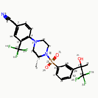 C[C@@H]1CN(c2ccc(C#N)cc2C(F)(F)F)CCN1S(=O)(=O)c1cccc(C(C)(O)C(F)(F)F)c1